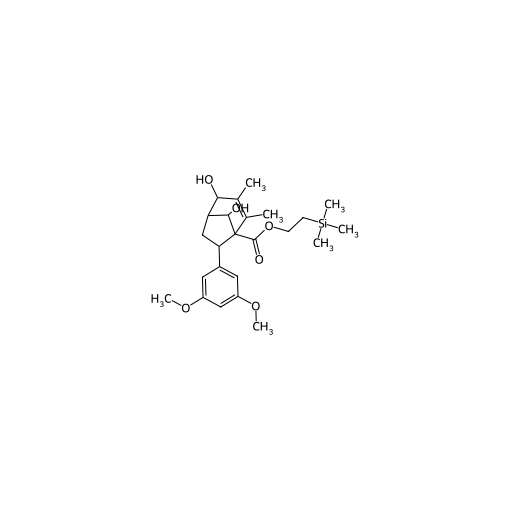 COc1cc(OC)cc(C2CC3C(O)C(C)=C(C)C2(C(=O)OCC[Si](C)(C)C)C3O)c1